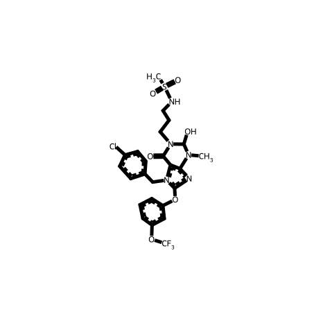 CN1c2nc(Oc3cccc(OC(F)(F)F)c3)n(Cc3ccc(Cl)cc3)c2C(=O)N(CCCNS(C)(=O)=O)C1O